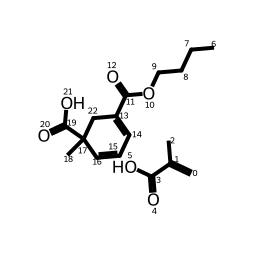 C=C(C)C(=O)O.CCCCOC(=O)C1=CC=CC(C)(C(=O)O)C1